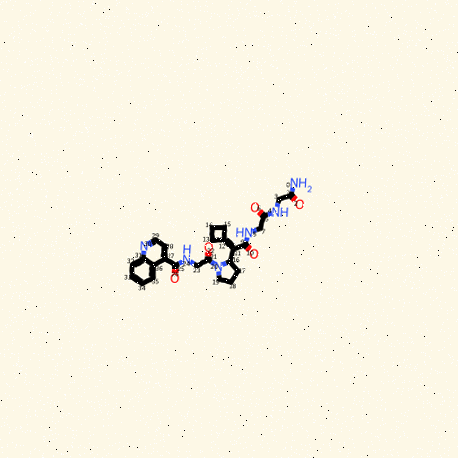 NC(=O)CNC(=O)CNC(=O)C(=C1CCC1)C1CCCN1C(=O)CNC(=O)c1ccnc2ccccc12